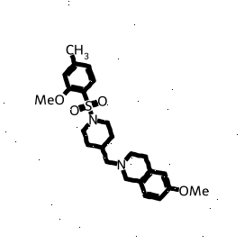 COc1ccc2c(c1)CCN(CC1CCN(S(=O)(=O)c3ccc(C)cc3OC)CC1)C2